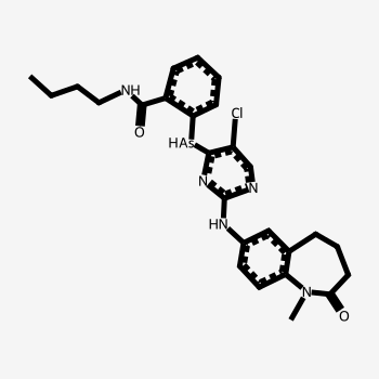 CCCCNC(=O)c1ccccc1[AsH]c1nc(Nc2ccc3c(c2)CCCC(=O)N3C)ncc1Cl